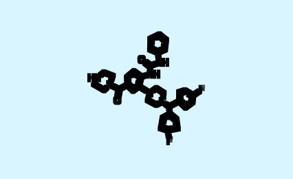 O=C(Nc1ccccc1)Nc1ccc(C(=O)N2CCNCC2)cc1N1CCN(C(c2ccc(F)cc2)c2ccc(F)cc2)CC1